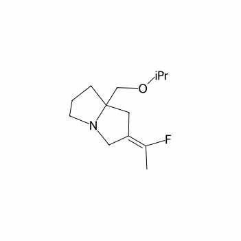 C/C(F)=C1\CN2CCCC2(COC(C)C)C1